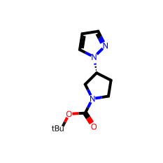 CC(C)(C)OC(=O)N1CC[C@@H](n2cccn2)C1